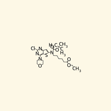 CCOC(=O)CCCCCN(C(=O)OC(C)(C)C)c1cc2nc(Cl)nc(N3CCOCC3)c2s1